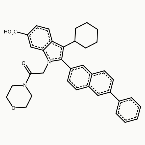 O=C(O)c1ccc2c(C3CCCCC3)c(-c3ccc4cc(-c5ccccc5)ccc4c3)n(CC(=O)N3CCOCC3)c2c1